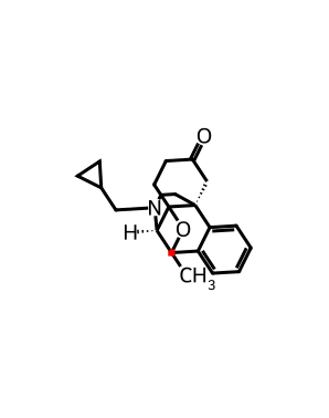 CCOC12CCC(=O)C[C@@]13CCN(CC1CC1)[C@@H]2Cc1ccccc13